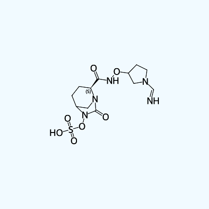 N=CN1CCC(ONC(=O)[C@@H]2CCC3CN2C(=O)N3OS(=O)(=O)O)C1